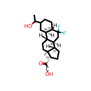 CC(O)C1CC[C@H]2[C@H](C1)[C@H]1CC[C@]3(C)[C@@H](C(=O)CO)CC[C@H]3[C@@H]1CC2(F)F